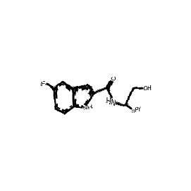 CCCC(CO)NC(=O)c1cc2cc(F)ccc2[nH]1